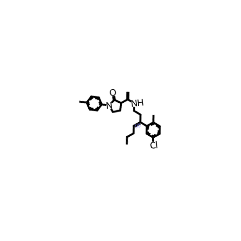 C=C(NCC/C(=C/CCC)c1cc(Cl)ccc1C)C1CCN(c2ccc(C)cc2)C1=O